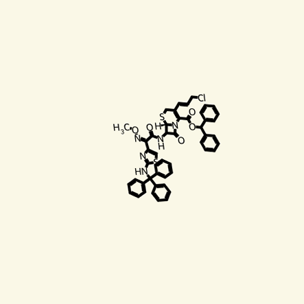 CO/N=C(\C(=O)NC1C(=O)N2C(C(=O)OC(c3ccccc3)c3ccccc3)=C(C=CCCl)CS[C@@H]12)c1csc(NC(c2ccccc2)(c2ccccc2)c2ccccc2)n1